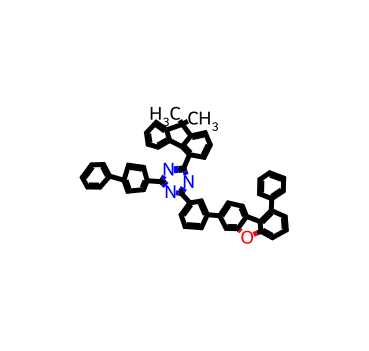 CC1(C)c2ccccc2-c2c(-c3nc(-c4ccc(-c5ccccc5)cc4)nc(-c4cccc(-c5ccc6c(c5)oc5cccc(-c7ccccc7)c56)c4)n3)cccc21